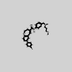 COCCCN(C)Cc1ccc(NC(=O)C2=Cc3cc(-c4ccc(C)cc4)ccc3SCC2)cc1